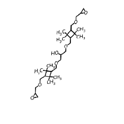 CC1(C)C(COCC(O)COCC2C(C)(C)C(COCC3CO3)C2(C)C)C(C)(C)C1COCC1CO1